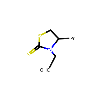 CC(C)C1CSC(=S)N1CC=O